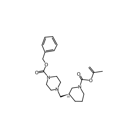 C=C(C)OC(=O)N1CCC[C@@H](CN2CCN(C(=O)OCc3ccccc3)CC2)C1